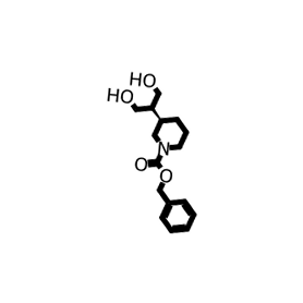 O=C(OCc1ccccc1)N1CCC[C@H](C(CO)CO)C1